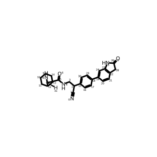 N#CC(CNC(=O)[C@H]1NC2CCC1CC2)c1ccc(-c2ccc3c(c2)NC(=O)C3)cc1